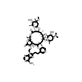 CO[C@]1(C)C[C@@H](C)C(=O)[C@H](C)[C@H]2[C@H](SCn3c(CCc4cccnc4)nc4c(N)ncnc43)C(=O)O[C@]2(C)[C@@H](I)OC(=O)[C@H](C)[C@@H](O[C@H]2C[C@@](C)(OC)[C@@H](O)[C@H](C)O2)[C@H](C)[C@H]1O[C@@H]1O[C@H](C)C[C@H](N(C)C)[C@H]1O